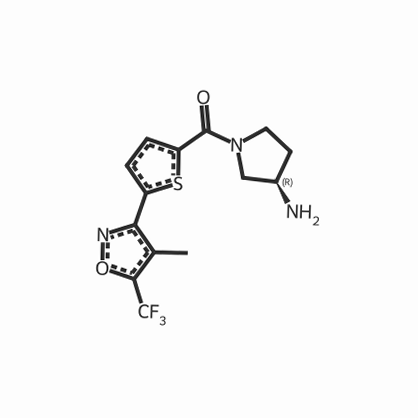 Cc1c(-c2ccc(C(=O)N3CC[C@@H](N)C3)s2)noc1C(F)(F)F